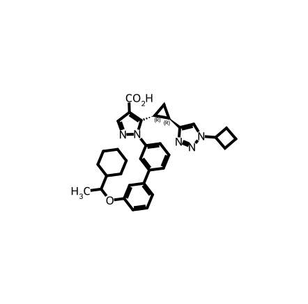 CC(Oc1cccc(-c2cccc(-n3ncc(C(=O)O)c3[C@@H]3C[C@H]3c3cn(C4CCC4)nn3)c2)c1)C1CCCCC1